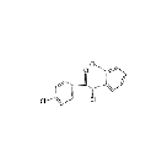 O=C(c1ccc(Cl)cc1)C(Cl)c1ccccc1Cl